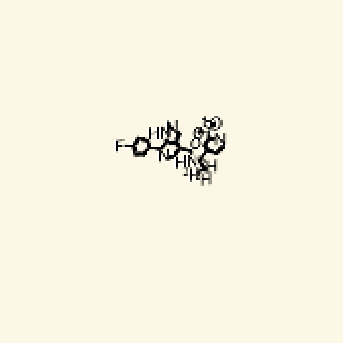 [2H]C([2H])([2H])[C@H](NC(=O)c1cnc(-c2ccc(F)cc2)c2[nH]ncc12)c1ccnc(S(C)(=O)=O)c1